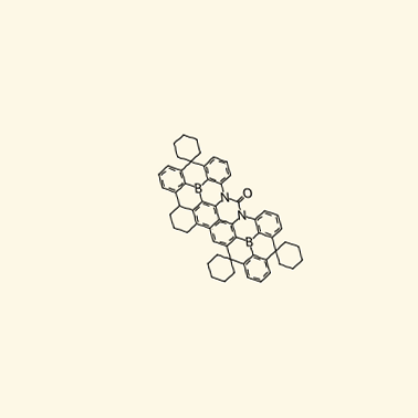 O=C1N2c3cccc4c3B3c5c(cccc5C5(CCCCC5)c5cc6c7c8c9c(c6c2c53)N1c1cccc2c1B9c1c(cccc1C21CCCCC1)C8CCC7)C41CCCCC1